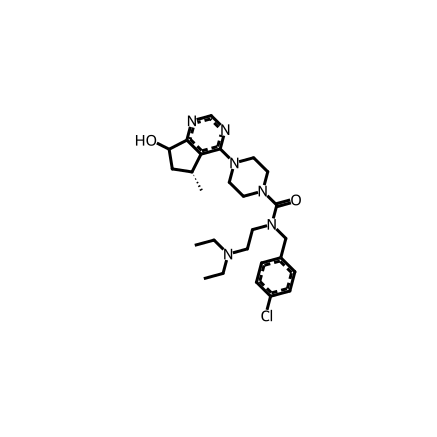 CCN(CC)CCN(Cc1ccc(Cl)cc1)C(=O)N1CCN(c2ncnc3c2[C@H](C)CC3O)CC1